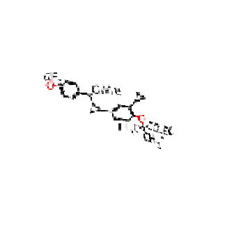 CCOC(=O)C(C)(C)Oc1ccc(C2CC2C(OC)c2ccc(OC(F)(F)F)cc2)cc1C1CC1